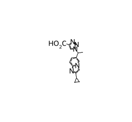 CC(c1ccc2nc(C3CC3)cn2c1)n1cc(C(=O)O)nn1